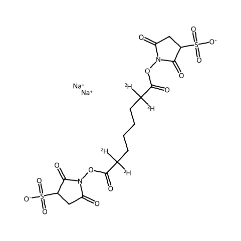 [2H]C([2H])(CCCCC([2H])([2H])C(=O)ON1C(=O)CC(S(=O)(=O)[O-])C1=O)C(=O)ON1C(=O)CC(S(=O)(=O)[O-])C1=O.[Na+].[Na+]